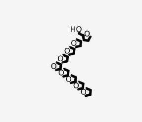 C1CCOC1.C1CCOC1.C1CCOC1.C1CCOC1.C1CCOC1.C1CCOC1.C1CCOC1.C1CCOC1.OCC1CCCO1